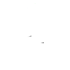 C/C(C(=O)NBr)=C1\CC[C@H]2[C@@H]3CCC4=CC(=O)C=C[C@]4(C)[C@H]3CC[C@]12C